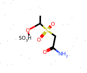 CC(OS(=O)(=O)O)S(=O)(=O)CC(N)=O